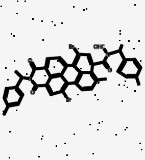 Cc1ccc(C(C)N(C=O)C(=O)c2cc(Br)c3c4ccc5c6c(cc(Br)c(c7ccc(C)c2c73)c64)C(=O)N(C(C)c2ccc(C)cc2)C5=O)cc1